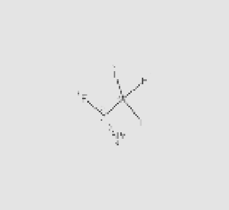 CCC[C@H](F)C(F)(F)F